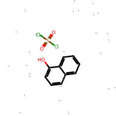 O=S(=O)(Cl)Cl.Oc1cccc2ccccc12